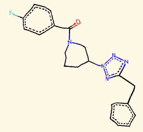 O=C(c1ccc(F)cc1)N1CCCC(n2nnc(Cc3ccccc3)n2)C1